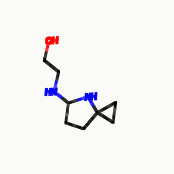 OCCNC1CCC2(CC2)N1